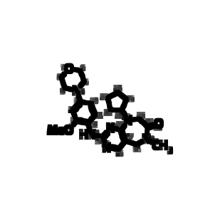 COc1cc(N2CCOCC2)ccc1Nc1ncc2c(n1)N(C1CCCC1)CC(=O)N(C)C2